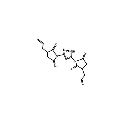 C=CCC1CC(=O)N(c2n[nH]c(N3C(=O)CC(CC=C)C3=O)n2)C1=O